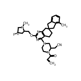 C=CC(=O)N1CCN(c2nc(OCC3C[C@@H](F)CN3C)nc3c2CCC2(Cc4cccc(C)c4C2)C3)CC1CC#N